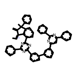 C=C1/C(=C\C)c2c(-c3nc(-c4ccccc4)nc(-c4cccc(-c5cccc(-c6cc(-c7ccccc7)nc(-c7ccccc7)n6)c5)c4)n3)cccc2C1(C)c1ccccc1